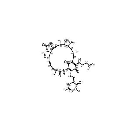 COC(=O)C(CSC1=C2NC(=O)C(C)=CC=C[C@H](OC)[C@@H](OC(N)=O)C(C)=C[C@H](C)[C@@H](O)[C@@H](OC)C[C@H](C)CC(=C(NCCN(C)C)C1=O)C2=O)NC(C)=O